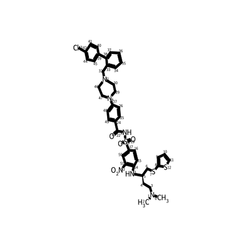 CN(C)CC[C@H](CSc1cccs1)Nc1ccc(S(=O)(=O)NC(=O)c2ccc(N3CCN(Cc4ccccc4-c4ccc(Cl)cc4)CC3)cc2)cc1[N+](=O)[O-]